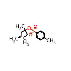 C=CCC(C)(CC)OS(=O)(=O)c1ccc(C)cc1